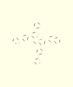 c1ccc(-c2cc(-c3ccc(-c4ccccn4)cc3)c3ccc4c(-c5ccc(-c6ccccn6)cc5)cc(-c5ccc6ccccc6c5)nc4c3n2)cc1